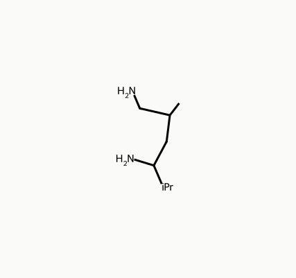 CC(CN)CC(N)C(C)C